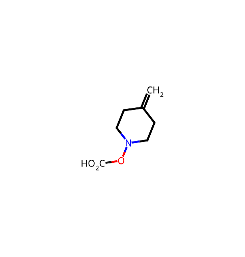 C=C1CCN(OC(=O)O)CC1